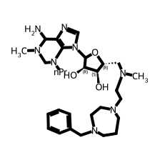 CCCN1CN(C)C(N)c2ncn(C3O[C@H](CN(C)CCN4CCCN(Cc5ccccc5)CC4)[C@@H](O)[C@H]3O)c21